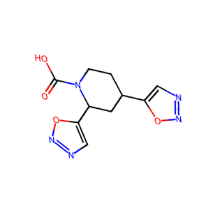 O=C(O)N1CCC(c2cnno2)CC1c1cnno1